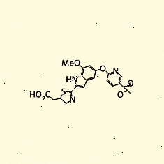 COc1cc(Oc2ccc(S(C)(=O)=O)cn2)cc2cc(C3=NCC(CC(=O)O)S3)[nH]c12